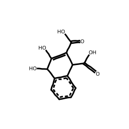 O=C(O)C1=C(O)C(O)c2ccccc2C1C(=O)O